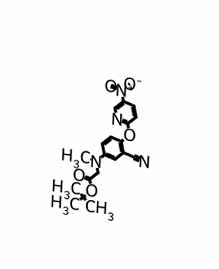 CN(CC(=O)OC(C)(C)C)c1ccc(Oc2ccc([N+](=O)[O-])cn2)c(C#N)c1